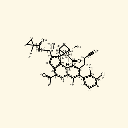 CC(=O)c1nc2c(F)c(-c3cccc(Cl)c3Cl)c(CCC#N)cc2c2c1cc([C@@H](C)NC(=O)C1(F)CC1)n2[C@H]1[C@@H]2C[C@H]1N(C(=O)O)C2